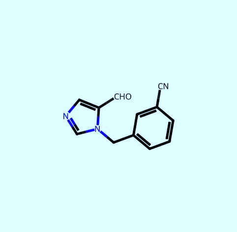 N#Cc1cccc(Cn2cncc2C=O)c1